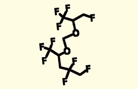 FCC(OCOC(CC(F)(F)CF)C(F)(F)F)C(F)(F)F